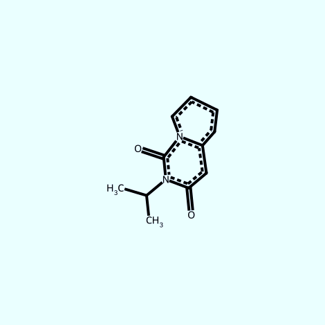 CC(C)n1c(=O)cc2ccccn2c1=O